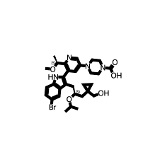 CO[C@@H](C)c1ncc(N2CCN(C(=O)O)CC2)cc1-c1[nH]c2ccc(Br)cc2c1C[C@@H](CC1(CO)CC1)OC(C)C